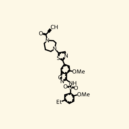 C#CC(=O)N1CCCN(c2cnc(-c3cc(OC)c4c(NS(=O)(=O)c5cc(CC)ccc5OC)noc4c3)s2)CC1